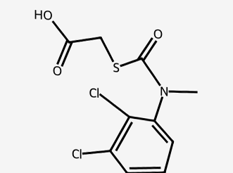 CN(C(=O)SCC(=O)O)c1cccc(Cl)c1Cl